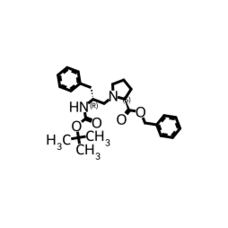 CC(C)(C)OC(=O)N[C@H](Cc1ccccc1)CN1CCC[C@H]1C(=O)OCc1ccccc1